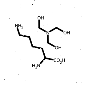 NCCCCC(N)C(=O)O.OCN(CO)CO